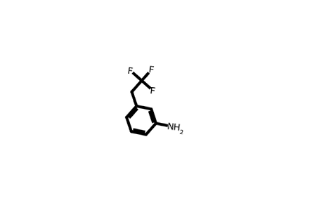 Nc1cccc(CC(F)(F)F)c1